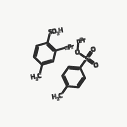 CCCOS(=O)(=O)c1ccc(C)cc1.CCCc1cc(C)ccc1S(=O)(=O)O